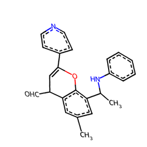 Cc1cc2c(c(C(C)Nc3ccccc3)c1)OC(c1ccncc1)=CC2C=O